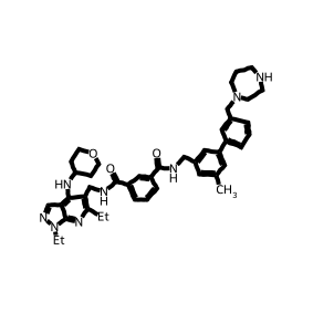 CCc1nc2c(cnn2CC)c(NC2CCOCC2)c1CNC(=O)c1cccc(C(=O)NCc2cc(C)cc(-c3cccc(CN4CCCNCC4)c3)c2)c1